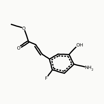 COC(=O)/C=C/c1cc(O)c(N)cc1F